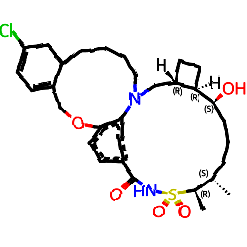 C[C@@H]1[C@@H](C)CCC[C@H](O)[C@@H]2CC[C@H]2CN2CCCCC3CC(Cl)=CC=C3COc3ccc(cc32)C(=O)NS1(=O)=O